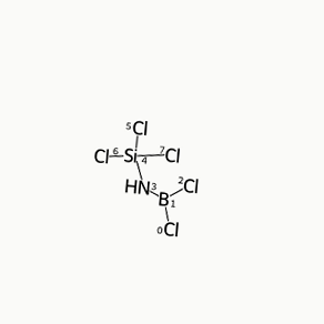 ClB(Cl)N[Si](Cl)(Cl)Cl